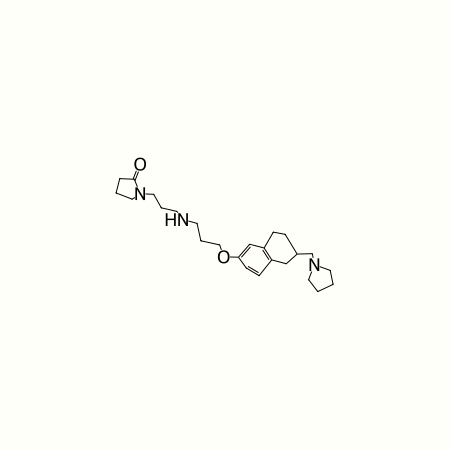 O=C1CCCN1CCCNCCCOc1ccc2c(c1)CCC(CN1CCCC1)C2